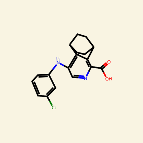 O=C(O)c1ncc(Nc2cccc(Cl)c2)c2c1C1CCC2CC1